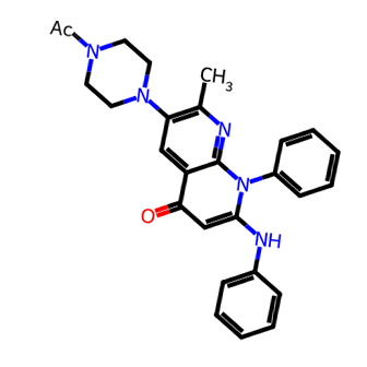 CC(=O)N1CCN(c2cc3c(=O)cc(Nc4ccccc4)n(-c4ccccc4)c3nc2C)CC1